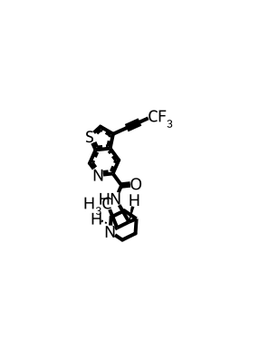 C[C@H]1[C@H](NC(=O)c2cc3c(C#CC(F)(F)F)csc3cn2)C2CCN1CC2